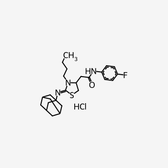 CCCCN1/C(=N/C23CC4CC(CC(C4)C2)C3)SCC1CC(=O)Nc1ccc(F)cc1.Cl